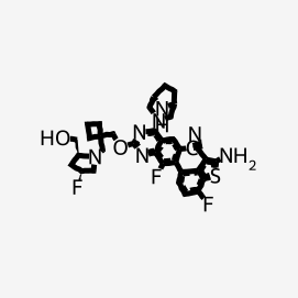 N#Cc1c(N)sc2c(F)ccc(-c3c(Cl)cc4c(N5CC6CCC(C5)N6)nc(OCC5(CN6C[C@H](F)C[C@H]6CO)CCC5)nc4c3F)c12